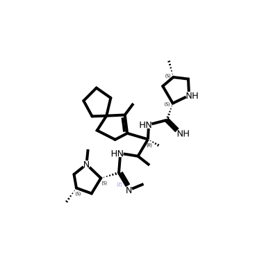 C/N=C(\NC(C)[C@](C)(NC(=N)[C@@H]1C[C@H](C)CN1)C1=C(C)C2(CCCC2)CC1)[C@@H]1C[C@H](C)CN1C